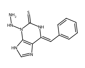 NNN1C(=S)NC(=Cc2ccccc2)c2nc[nH]c21